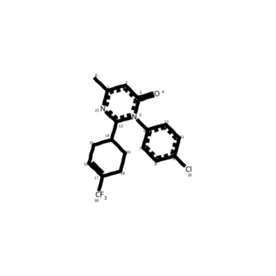 Cc1cc(=O)n(-c2ccc(Cl)cc2)c(C2CC=C(C(F)(F)F)CC2)n1